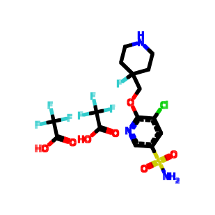 NS(=O)(=O)c1cnc(OCC2(F)CCNCC2)c(Cl)c1.O=C(O)C(F)(F)F.O=C(O)C(F)(F)F